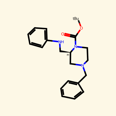 CC(C)(C)OC(=O)N1CCN(Cc2ccccc2)C[C@H]1CNc1ccccc1